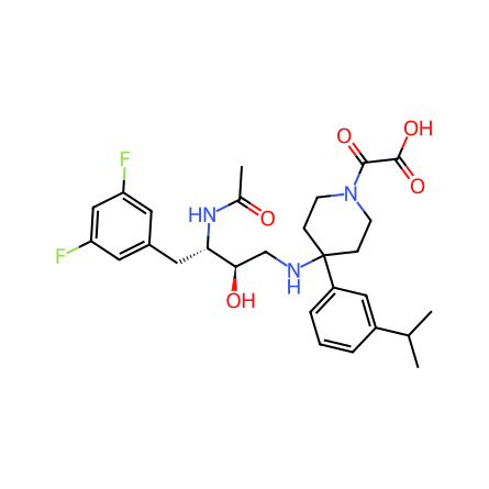 CC(=O)N[C@@H](Cc1cc(F)cc(F)c1)[C@H](O)CNC1(c2cccc(C(C)C)c2)CCN(C(=O)C(=O)O)CC1